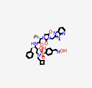 CC(C)[C@@H](C(=O)N[C@@H](Cc1ccccc1)[C@H](O)CN(CC1CCC1)S(=O)(=O)c1ccc(C=NO)cc1)N1CC(=O)N(Cc2nc3cccnc3n2C)C1=O